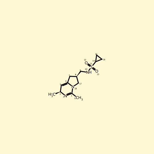 CC1=N[C@@H](C)C=C2C[C@@H](CNS(=O)(=O)C3CC3)CN21